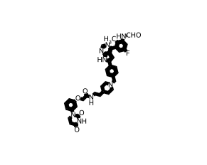 Cc1c(NC=O)cc(F)cc1-c1ncnc2[nH]c(-c3ccc(CN4CCC(CCNC(=O)COc5cccc(N6CCC(=O)NC6=O)c5)CC4)cc3)cc12